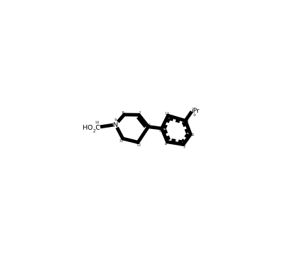 CC(C)c1cccc(C2=CCN(C(=O)O)CC2)c1